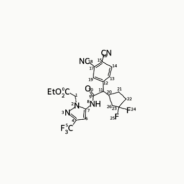 CCOC(=O)Cn1nc(C(F)(F)F)cc1NC(=O)C(c1ccc(C#N)c(C#N)c1)C1CCC(F)(F)C1